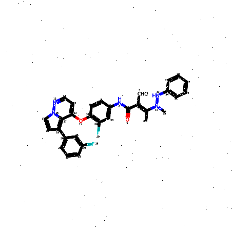 C/C(=C(/C=O)C(=O)Nc1ccc(Oc2ccnn3ccc(-c4cccc(F)c4)c23)c(F)c1)N(C)Nc1ccccc1